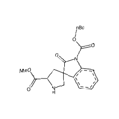 CCCCOC(=O)N1C(=O)C2(CNC(C(=O)OC)C2)c2ccccc21